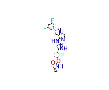 CC1(NC(=O)O[C@H]2CC[C@@H](c3cc(Nc4nccn5nc(-c6cc(F)cc(F)c6)cc45)n[nH]3)[C@H]2F)CC1